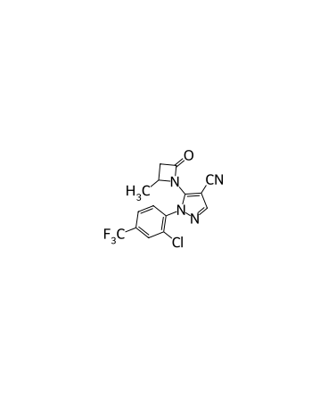 CC1CC(=O)N1c1c(C#N)cnn1-c1ccc(C(F)(F)F)cc1Cl